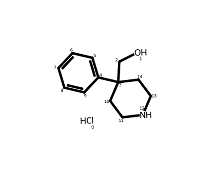 Cl.OCC1(c2ccccc2)CCNCC1